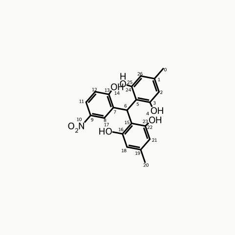 Cc1cc(O)c(C(c2cc([N+](=O)[O-])ccc2O)c2c(O)cc(C)cc2O)c(O)c1